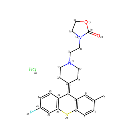 Cc1ccc2c(c1)C(=C1CCN(CCN3CCOC3=O)CC1)c1ccc(F)cc1S2.Cl